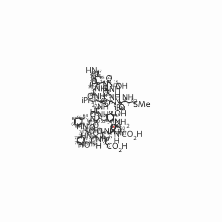 CC[C@H](C)[C@H](NC(=O)[C@@H](N)CCSC)C(=O)N[C@@H](C)C(=O)N[C@@H](CO)C(=O)N[C@@H](Cc1c[nH]cn1)C(=O)N[C@@H](CC(C)C)C(=O)N[C@@H](CC(C)C)C(=O)N[C@@H](C)C(=O)N[C@@H](Cc1ccc(O)cc1)C(=O)N[C@@H](Cc1ccccc1)C(=O)N[C@@H](Cc1ccccc1)C(=O)N[C@H](C(=O)N[C@@H](CCC(=O)O)C(=O)N[C@@H](CC(C)C)C(=O)N[C@@H](CC(N)=O)C(=O)O)[C@@H](C)O